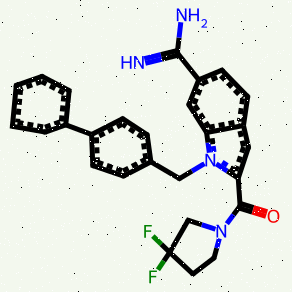 N=C(N)c1ccc2cc(C(=O)N3CCC(F)(F)C3)n(Cc3ccc(-c4ccccc4)cc3)c2c1